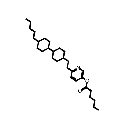 CCCCCC(=O)Oc1ccc(CCC2CCC(C3CCC(CCCCC)CC3)CC2)nc1